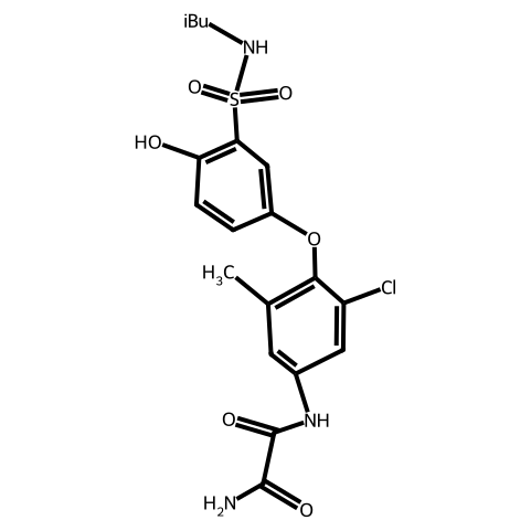 CCC(C)NS(=O)(=O)c1cc(Oc2c(C)cc(NC(=O)C(N)=O)cc2Cl)ccc1O